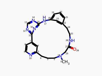 CN1CCCc2cc(ccn2)-c2ncnc(n2)Nc2cccc(c2)CCNC(=O)C1